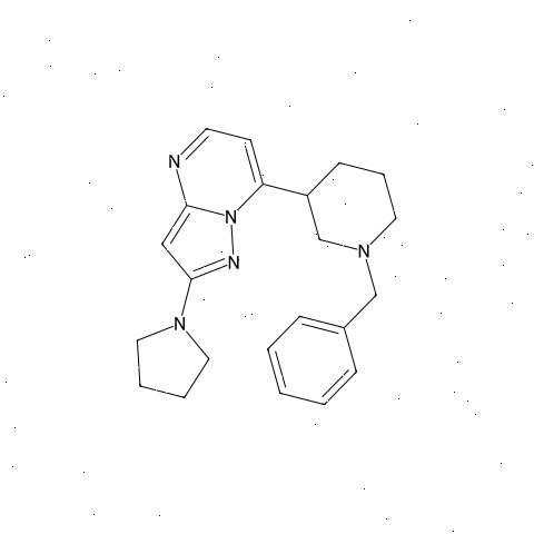 c1ccc(CN2CCCC(c3ccnc4cc(N5CCCC5)nn34)C2)cc1